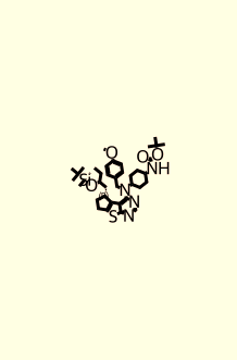 CCC(C[C@H]1CCc2sc3ncnc(N(Cc4ccc(OC)cc4)C4CCC(NC(=O)OC(C)(C)C)CC4)c3c21)O[Si](C)(C)C(C)(C)C